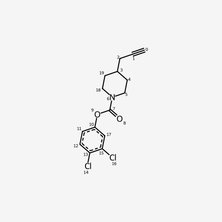 C#CCC1CCN(C(=O)Oc2ccc(Cl)c(Cl)c2)CC1